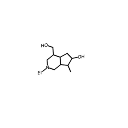 CCN1CC(CO)C2CC(O)C(C)C2C1